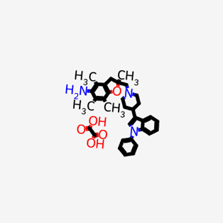 Cc1c(C)c2c(c(C)c1N)CC(C)(CN1CCC(c3cn(-c4ccccc4)c4ccccc34)CC1)O2.O=C(O)C(=O)O